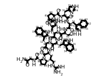 N=C(N)NCCC[C@H](NC(=O)[C@H](Cc1c[nH]c2ccccc12)NC(=O)[C@@H](Cc1c[nH]c2ccccc12)NC(=O)[C@H](Cc1c[nH]cn1)NC(=O)[C@H](CO)NC(=O)[C@H](Cc1c[nH]c2ccccc12)NC(=O)[C@H](Cc1c[nH]cn1)NC(=O)[C@@H]1CCC(=O)N1)C(=O)N1CCC[C@H]1C(=O)NCC(N)=O